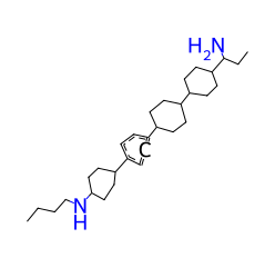 CCCCNC1CCC(c2ccc(C3CCC(C4CCC(C(N)CC)CC4)CC3)cc2)CC1